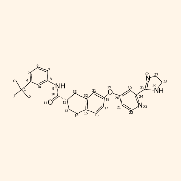 CC(C)(C)c1cccc(NC(=O)[C@H]2CCc3ccc(Oc4ccnc(C5=NCCN5)c4)cc3C2)c1